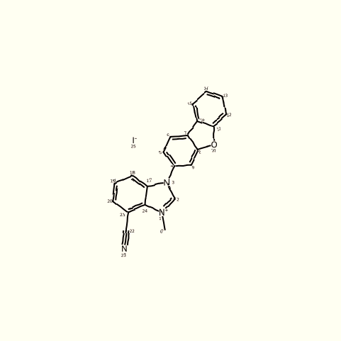 C[n+]1cn(-c2ccc3c(c2)oc2ccccc23)c2cccc(C#N)c21.[I-]